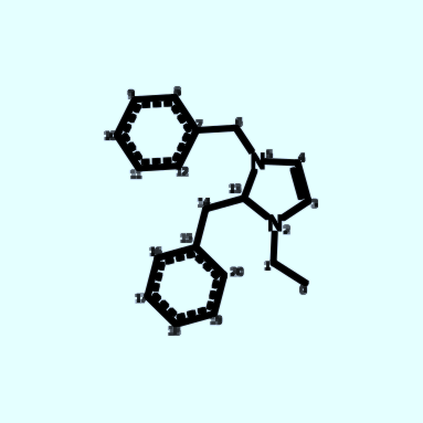 CCN1C=CN(Cc2ccccc2)C1Cc1ccccc1